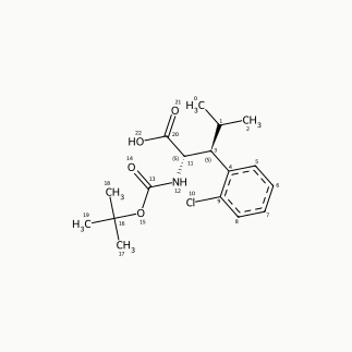 CC(C)[C@@H](c1ccccc1Cl)[C@H](NC(=O)OC(C)(C)C)C(=O)O